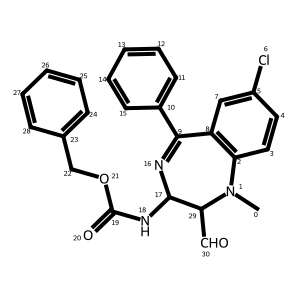 CN1c2ccc(Cl)cc2C(c2ccccc2)=NC(NC(=O)OCc2ccccc2)C1C=O